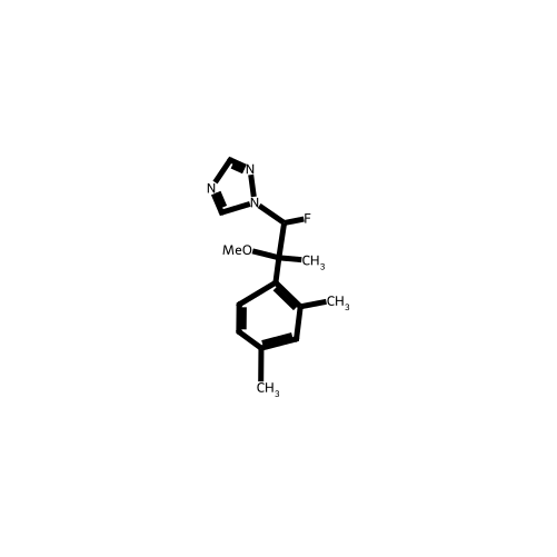 COC(C)(c1ccc(C)cc1C)C(F)n1cncn1